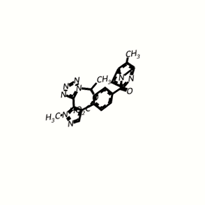 Cc1c2ccnc1N2C(=O)c1ccc(-c2cnn(C)c2-c2nnnn2C(C)OC(=O)O)cc1